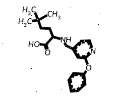 CC(C)(C)CCC(NCc1ccnc(Oc2ccccc2)c1)C(=O)O